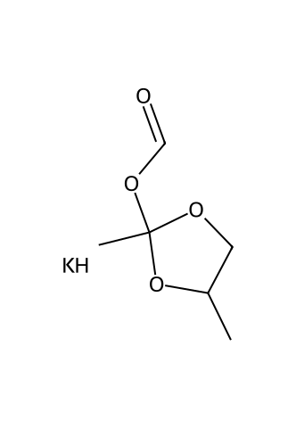 CC1COC(C)(OC=O)O1.[KH]